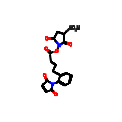 O=C(CCCc1ccccc1N1C(=O)C=CC1=O)ON1C(=O)CC(S(=O)(=O)O)C1=O